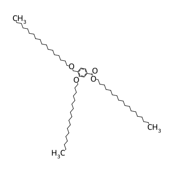 CCCCCCCCCCCCCCCCCCOCc1ccc(C(=O)OCCCCCCCCCCCCCCCCCC)cc1OCCCCCCCCCCCCCCCCCC